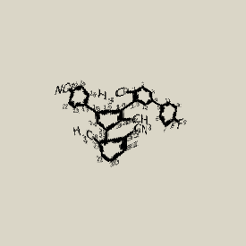 Cc1ccc(-c2ccc(F)cc2)cc1-c1cc(-c2ccc(C#N)cc2)cc(-c2c(C)cccc2C#N)c1C